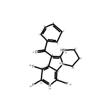 O=C(c1ccccc1)c1c2n(c3c(F)nc(F)c(F)c13)CCCN2